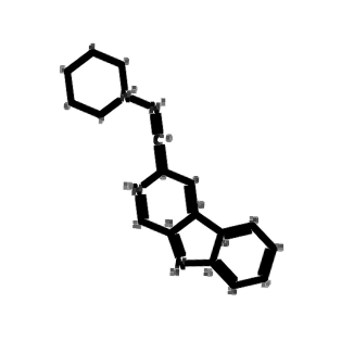 C(=NN1CCCCC1)=c1cc2c(cn1)=Nc1ccccc1-2